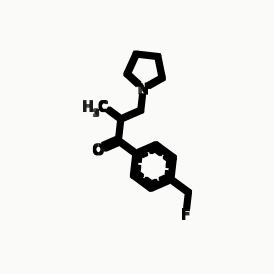 CC(CN1CCCC1)C(=O)c1ccc(CF)cc1